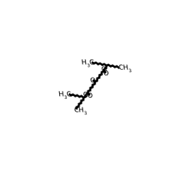 CCCCCCCC(CCCCCCC)COC(=O)CCCCCCC(=O)CCCCCCC(=O)OCC(CCCCCCC)CCCCCCC